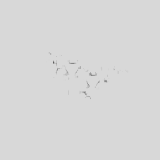 COCC1Cc2c(Oc3ccc(C(=O)N4CCC4)c(F)c3)cc(C(=O)O)cc2O1